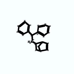 C1=CC2CC1CC2[SiH2]C(c1ccccc1)c1ccccc1